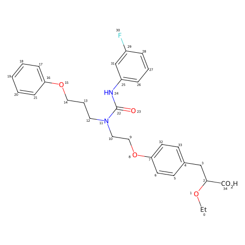 CCOC(Cc1ccc(OCCN(CCCOc2ccccc2)C(=O)Nc2cccc(F)c2)cc1)C(=O)O